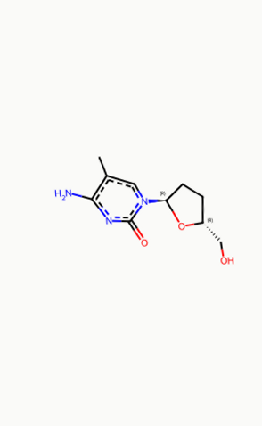 Cc1cn([C@H]2CC[C@H](CO)O2)c(=O)nc1N